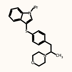 CC(Cc1ccc(Sc2cn(C(C)C)c3ccccc23)cc1)N1CCOCC1